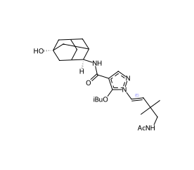 CC(=O)NCC(C)(C)/C=C/n1ncc(C(=O)N[C@H]2C3CC4CC2C[C@](O)(C4)C3)c1OCC(C)C